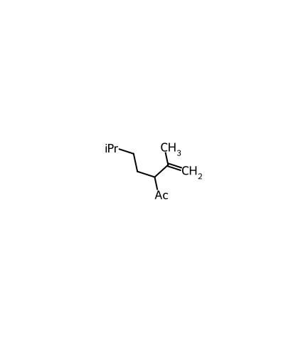 C=C(C)C(CCC(C)C)C(C)=O